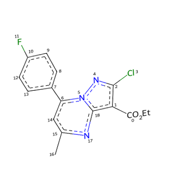 CCOC(=O)c1c(Cl)nn2c(-c3ccc(F)cc3)cc(C)nc12